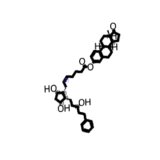 C[C@]12CC[C@@H]3c4ccc(OC(=O)CCC/C=C\C[C@@H]5[C@@H](CC[C@@H](O)CCc6ccccc6)[C@H](O)C[C@@H]5O)cc4CC[C@H]3[C@@H]1CCC2=O